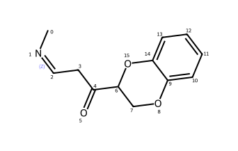 C/N=C\CC(=O)C1COc2ccccc2O1